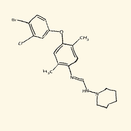 Cc1cc(Oc2ccc(Br)c(Cl)c2)c(C)cc1/N=C/NN1CCCCC1